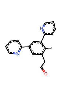 Cc1c(CC=O)cc(-c2ccccn2)cc1-c1ccccn1